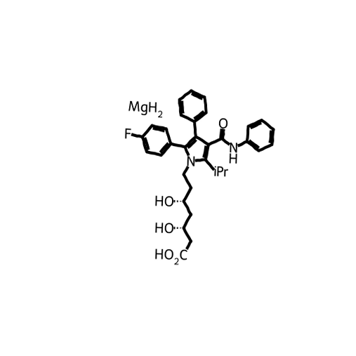 CC(C)c1c(C(=O)Nc2ccccc2)c(-c2ccccc2)c(-c2ccc(F)cc2)n1CC[C@@H](O)C[C@@H](O)CC(=O)O.[MgH2]